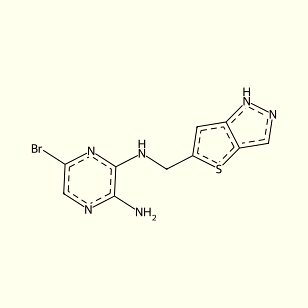 Nc1ncc(Br)nc1NCc1cc2[nH]ncc2s1